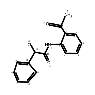 NC(=O)c1ccccc1NC(=O)C(Cl)c1ccccc1